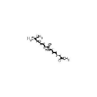 CC(=O)CCCCCNC(=O)CCCOCC(C)C